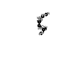 Cc1cc(-c2cccc(C(=O)Nc3cc(CN4CCN(C)CC4)cc(C(F)(F)F)c3)c2)cc2cnc(Nc3ccc(N4CCC(N(C)C)CC4)nc3)nc12